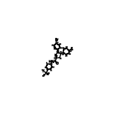 O=C(Nc1ccc(C(F)(F)F)cc1)C1=NN(c2ccc(Br)cn2)C(c2ccc(F)cc2)C1